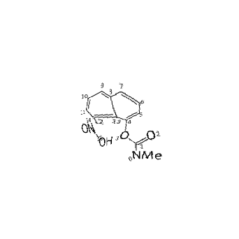 CNC(=O)Oc1cccc2ccccc12.O=NO